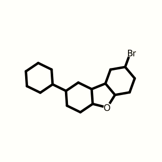 BrC1CCC2OC3CCC(C4CCCCC4)CC3C2C1